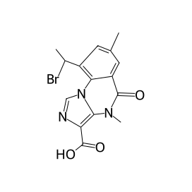 Cc1cc(C(C)Br)c2c(c1)c(=O)n(C)c1c(C(=O)O)ncn21